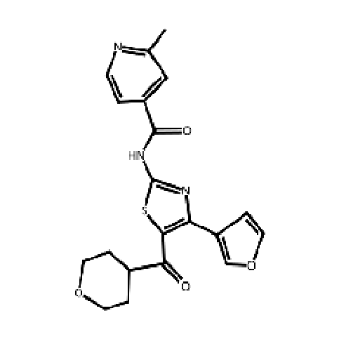 Cc1cc(C(=O)Nc2nc(-c3ccoc3)c(C(=O)C3CCOCC3)s2)ccn1